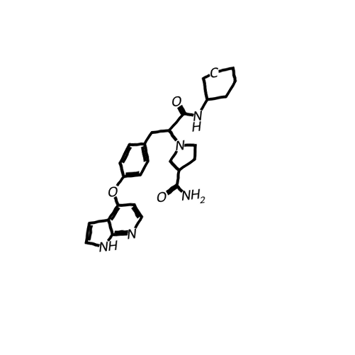 NC(=O)C1CCN(C(Cc2ccc(Oc3ccnc4[nH]ccc34)cc2)C(=O)NC2CCCCC2)C1